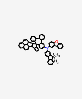 CC1(C)c2ccccc2-c2ccc(N(c3ccc4c(c3)-c3ccccc3-c3ccccc3C43c4ccccc4-c4c3cc3ccc5cccc6ccc4c3c56)c3ccc4oc5ccccc5c4c3)cc21